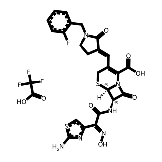 Nc1nc(C(=NO)C(=O)N[C@@H]2C(=O)N3C(C(=O)O)=C(C=C4CCN(Cc5ccccc5F)C4=O)CS[C@H]23)cs1.O=C(O)C(F)(F)F